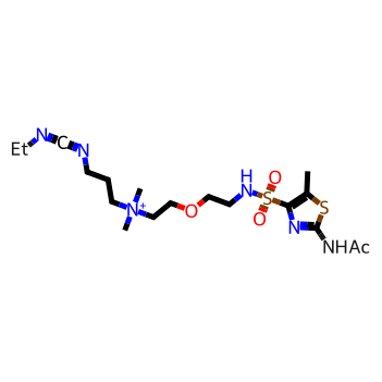 CCN=C=NCCC[N+](C)(C)CCOCCNS(=O)(=O)c1nc(NC(C)=O)sc1C